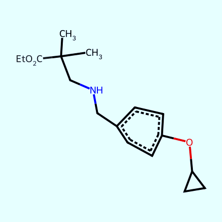 CCOC(=O)C(C)(C)CNCc1ccc(OC2CC2)cc1